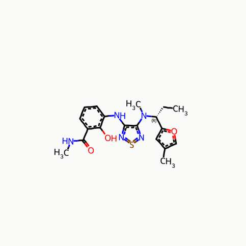 CC[C@H](c1cc(C)co1)N(C)c1nsnc1Nc1cccc(C(=O)NC)c1O